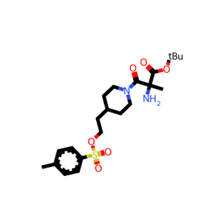 Cc1ccc(S(=O)(=O)OCCC2CCN(C(=O)C(C)(N)C(=O)OC(C)(C)C)CC2)cc1